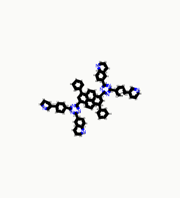 c1ccc(-c2cc(-c3nc(-c4ccc(-c5cccnc5)cc4)nc(-c4ccc5ncccc5c4)n3)c3ccc4c(-c5ccccc5)cc(-c5nc(-c6ccc(-c7cccnc7)cc6)nc(-c6ccc7ncccc7c6)n5)c5ccc2c3c45)cc1